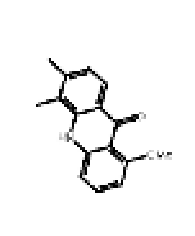 COc1cccc2[nH]c3c(C)c(C)ccc3c(=O)c12